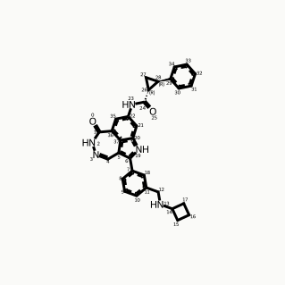 O=C1NN=Cc2c(-c3cccc(CNC4CCC4)c3)[nH]c3cc(NC(=O)[C@@H]4C[C@H]4c4ccccc4)cc1c23